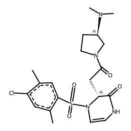 Cc1cc(S(=O)(=O)N2C=CNC(=O)[C@H]2CC(=O)N2CC[C@@H](N(C)C)C2)c(C)cc1Cl